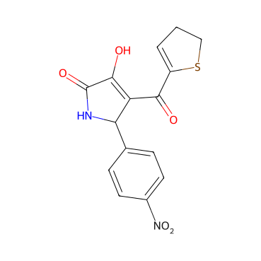 O=C1NC(c2ccc([N+](=O)[O-])cc2)C(C(=O)C2=CCCS2)=C1O